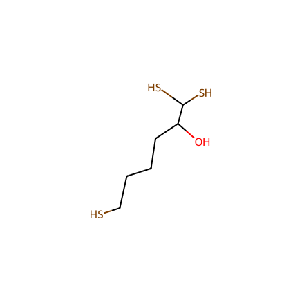 OC(CCCCS)C(S)S